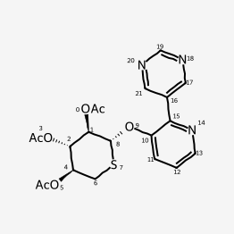 CC(=O)O[C@@H]1[C@@H](OC(C)=O)[C@H](OC(C)=O)CS[C@H]1Oc1cccnc1-c1cncnc1